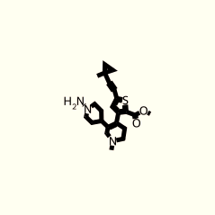 COC(=O)c1sc(C#CC2(C)CC2)cc1C1=C(C2CCN(N)CC2)CN(C)CC1